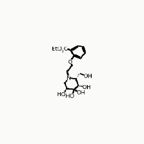 CCOC(=O)c1ccccc1OCCN1C[C@H](O)C(O)(O)[C@H](O)[C@H]1CO